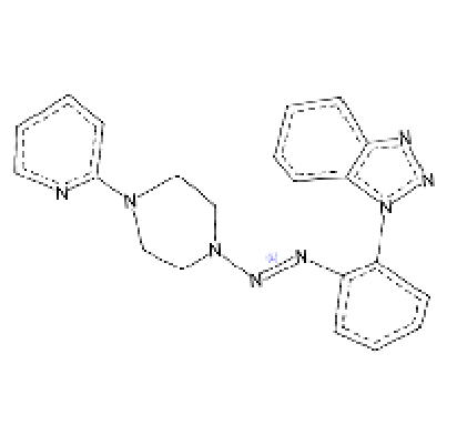 c1ccc(N2CCN(/N=N/c3ccccc3-n3nnc4ccccc43)CC2)nc1